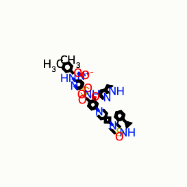 CC1(C)CCC(CNc2ncc(S(=O)(=O)NC(=O)c3ccc(N4CCC5(CC4)CC(N4CCS(=N)(=O)C[C@@H]4c4ccccc4C4CC4)C5)cc3Oc3cnc4[nH]ccc4c3)cc2[N+](=O)[O-])CC1